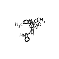 Cc1cccc(-c2nc(NCCc3c[nH]c4ccccc34)c3nc4n(c3n2)C(C)(C)CO4)c1